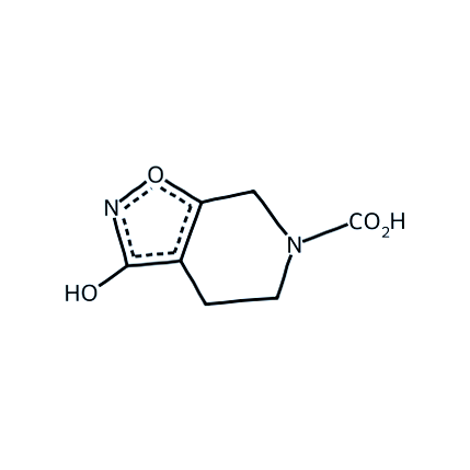 O=C(O)N1CCc2c(O)noc2C1